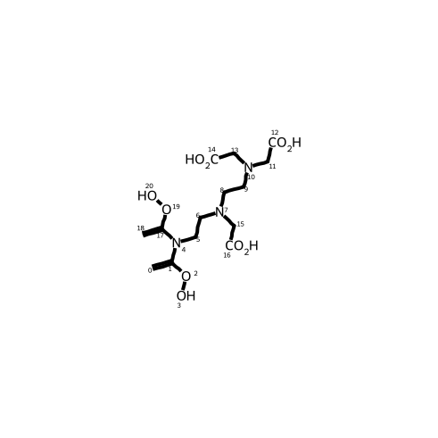 C=C(OO)N(CCN(CCN(CC(=O)O)CC(=O)O)CC(=O)O)C(=C)OO